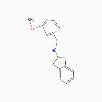 COc1cccc(CNC2Cc3ccccc3C2)c1